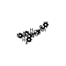 CC1(CNC(=O)Cc2ccccc2)COC(c2nc(-c3ccc(F)cc3)c(-c3ccnc(Nc4ccncc4)n3)[nH]2)OC1